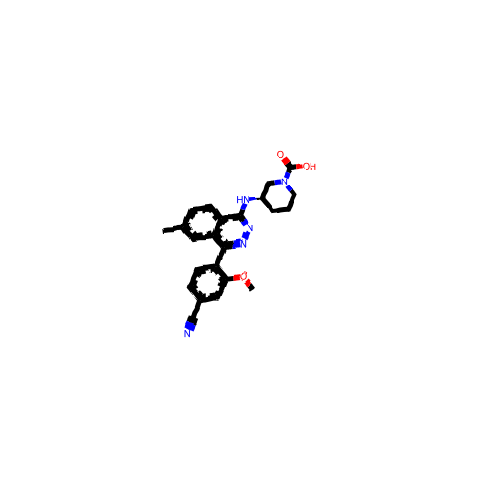 COc1cc(C#N)ccc1-c1nnc(N[C@@H]2CCCN(C(=O)O)C2)c2ccc(C)cc12